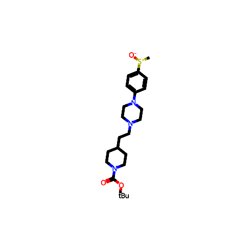 C[S+]([O-])c1ccc(N2CCN(CCC3CCN(C(=O)OC(C)(C)C)CC3)CC2)cc1